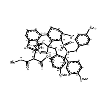 COc1ccc(CN(Cc2ccc(OC)cc2)S(=O)(=O)c2c(Br)ccc(-c3cccc4sc(N(C(=O)OC(C)(C)C)C(=O)OC(C)(C)C)nc34)c2C2(Cc3ccc(OC)cc3)N=NN=N2)cc1